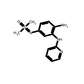 CS(C)(=O)=Nc1ccc(N)c(Nc2ccccn2)c1